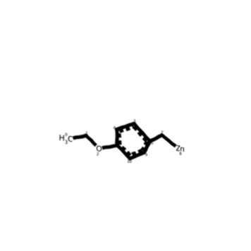 CCOc1ccc([CH2][Zn])cc1